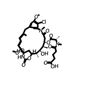 COc1cc2cc(c1Cl)N(C)C(=O)C[C@H](OC(=O)[C@H](C)N(C)C(=O)CCCC(=O)O)[C@@H](C)[C@H](O)[C@H](C)[C@@H]1C[C@@](O)(NC(=O)O1)[C@H](OC)/C=C/C=C(\C)C2